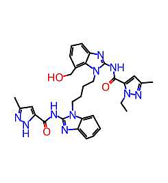 CCn1nc(C)cc1C(=O)Nc1nc2cccc(CO)c2n1CCCCn1c(NC(=O)c2cc(C)n[nH]2)nc2ccccc21